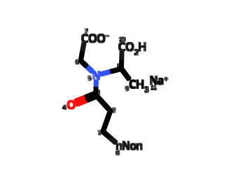 CCCCCCCCCCCC(=O)N(CC(=O)[O-])C(C)C(=O)O.[Na+]